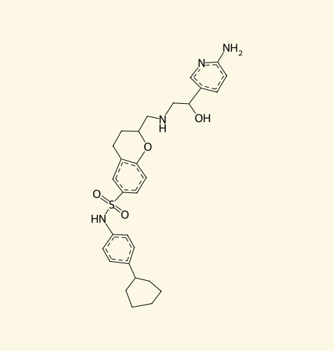 Nc1ccc(C(O)CNCC2CCc3cc(S(=O)(=O)Nc4ccc(C5CCCCC5)cc4)ccc3O2)cn1